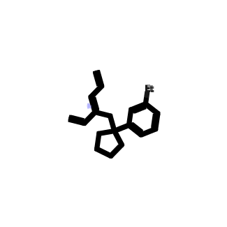 C=C/C=C(/C=C)CC1(c2cccc(CC)c2)CCCC1